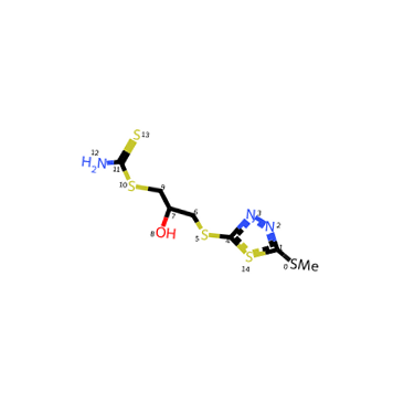 CSc1nnc(SCC(O)CSC(N)=S)s1